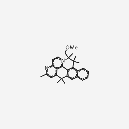 COCC1(C)[n+]2ccc3nc(C)cc4c3c2-c2c(cc3ccccc3c2C1(C)C)C4(C)C